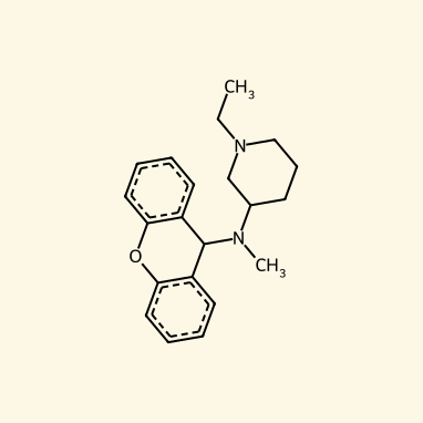 CCN1CCCC(N(C)C2c3ccccc3Oc3ccccc32)C1